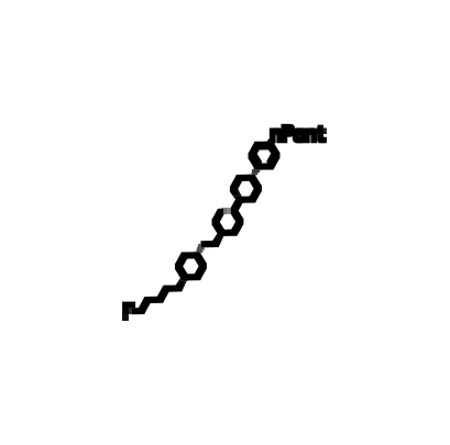 CCCCCc1ccc([C@H]2CC[C@H]([C@H]3CC[C@H](CC[C@H]4CC[C@H](CCCCCF)CC4)CC3)CC2)cc1